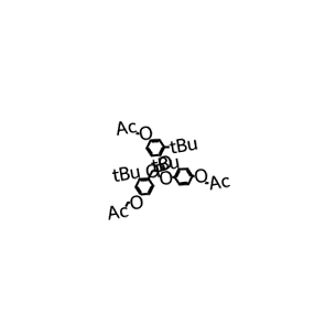 CC(=O)COc1ccc(OP(Oc2ccc(OCC(C)=O)cc2C(C)(C)C)Oc2ccc(OCC(C)=O)cc2C(C)(C)C)c(C(C)(C)C)c1